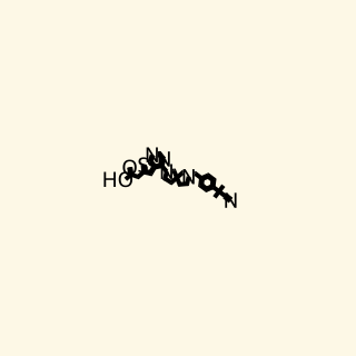 CC(C)(C#N)c1ccc(CN2CCC3(CCN(c4ncnc5sc(CC(=O)O)cc45)C3)C2)cc1